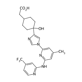 Cc1cc(Nc2cc(C(F)(F)F)ccn2)nc(-n2cnc(C3(O)CCC(CC(=O)O)CC3)c2)c1